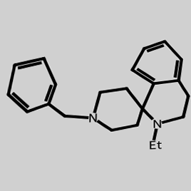 CCN1CCc2ccccc2C12CCN(Cc1ccccc1)CC2